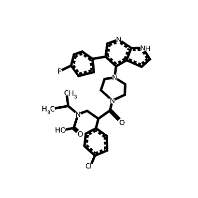 CC(C)N(CC(C(=O)N1CCN(c2c(-c3ccc(F)cc3)cnc3[nH]ccc23)CC1)c1ccc(Cl)cc1)C(=O)O